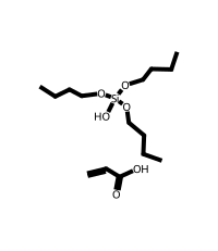 C=CC(=O)O.CCCCO[Si](O)(OCCCC)OCCCC